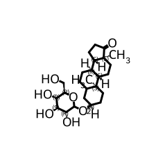 [2H][C@@]1(OC2O[C@H](CO)[C@H](O)[C@H](O)[C@H]2O)CC[C@@]2(C)C(CC[C@@H]3[C@@H]2CC[C@]2(C)C(=O)CC[C@@H]32)C1